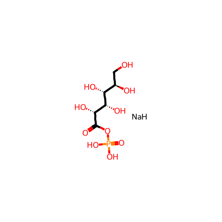 O=C(OP(=O)(O)O)[C@H](O)[C@@H](O)[C@H](O)[C@H](O)CO.[NaH]